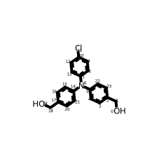 OCc1ccc(N(c2ccc(Cl)cc2)c2ccc(CO)cc2)cc1